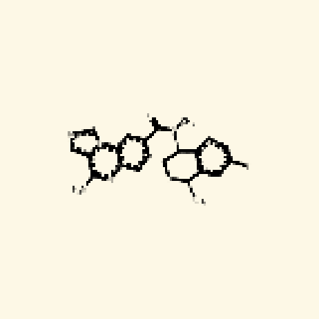 C[C@H]1OC[C@@H](N(C)C(=O)c2ccc3nc(N)c4cncn4c3c2)c2ccc(F)cc21